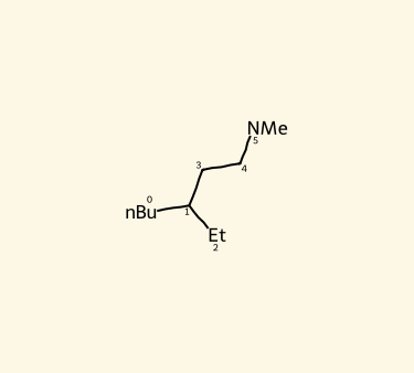 CCCCC(CC)CCNC